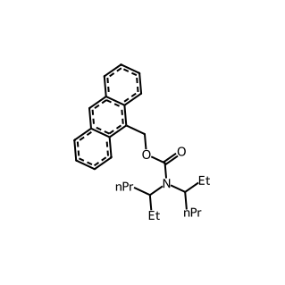 CCCC(CC)N(C(=O)OCc1c2ccccc2cc2ccccc12)C(CC)CCC